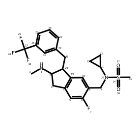 CNC1Cc2cc(F)c(CN(C3CC3)S(C)(=O)=O)cc2C1Cc1cccc(C(F)(F)F)c1